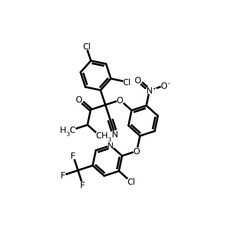 CC(C)C(=O)C(C#N)(Oc1cc(Oc2ncc(C(F)(F)F)cc2Cl)ccc1[N+](=O)[O-])c1ccc(Cl)cc1Cl